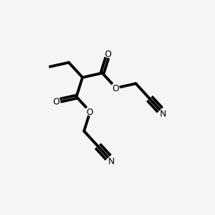 CCC(C(=O)OCC#N)C(=O)OCC#N